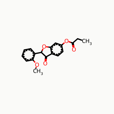 CCC(=O)Oc1ccc2c(c1)OC(c1ccccc1OC)C2=O